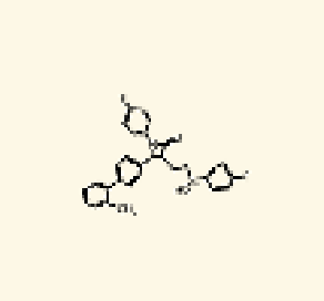 Cc1ccccc1-c1ccc(C2C(CC[C@H](O)c3ccc(F)cc3)C(=O)N2c2ccc(F)cc2)cc1